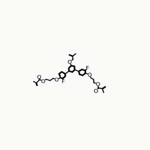 C=C(C)COc1cc(-c2ccc(OCCCOC(=O)C(=C)C)c(F)c2)cc(-c2ccc(OCCCOC(=O)C(=C)C)c(F)c2)c1